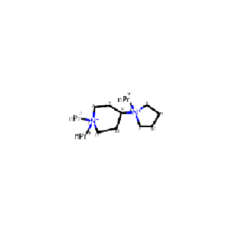 CCC[N+]1(CCC)CCC([N+]2(CCC)CCCC2)CC1